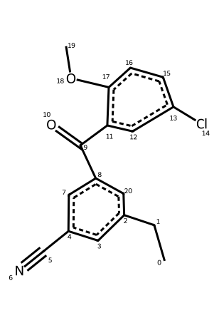 CCc1cc(C#N)cc(C(=O)c2cc(Cl)ccc2OC)c1